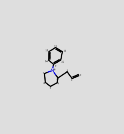 C=CCC1C[CH]CCN1c1ccccc1